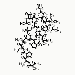 CC(C)C[C@H](NC(=O)[C@@H]1CCCN1C(=O)[C@@H](NC(=O)[C@@H]1CCCN1C(=O)[C@H](CCC(=O)O)NC(=O)[C@H](C)NC(=O)[C@H](C)NC(=O)[C@@H]1CCCN1C(=O)[C@H](C)NC(=O)[C@H](C)N)C(C)C)C(=O)N[C@H](C(=O)N[C@@H](CCCCN)C(=O)N[C@@H](CCC(N)=O)C(=O)N[C@@H](CC(=O)O)C(=O)O)C(C)C